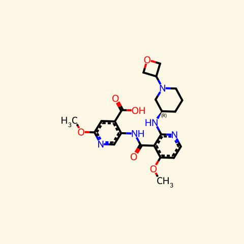 COc1cc(C(=O)O)c(NC(=O)c2c(OC)ccnc2N[C@@H]2CCCN(C3COC3)C2)cn1